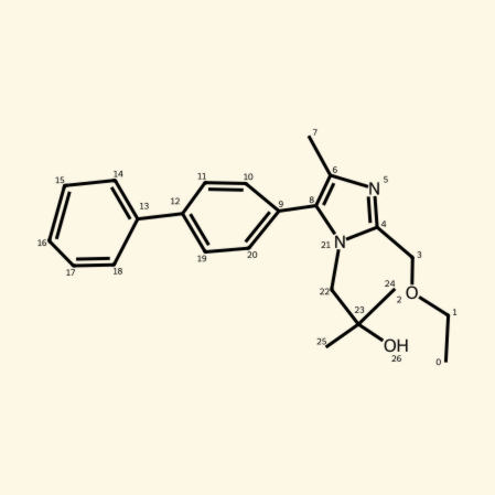 CCOCc1nc(C)c(-c2ccc(-c3ccccc3)cc2)n1CC(C)(C)O